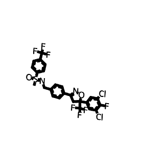 CS(=O)(=NCc1ccc(C2=NOC(c3cc(Cl)c(F)c(Cl)c3)(C(F)(F)F)C2)cc1)c1ccc(C(F)(F)F)cc1